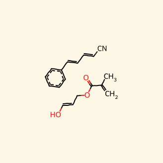 C=C(C)C(=O)OCC=CO.N#CC=CC=Cc1ccccc1